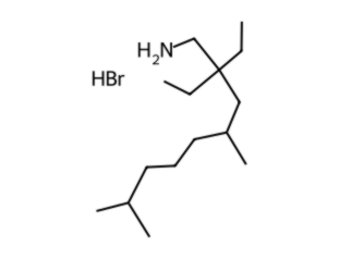 Br.CCC(CC)(CN)CC(C)CCCC(C)C